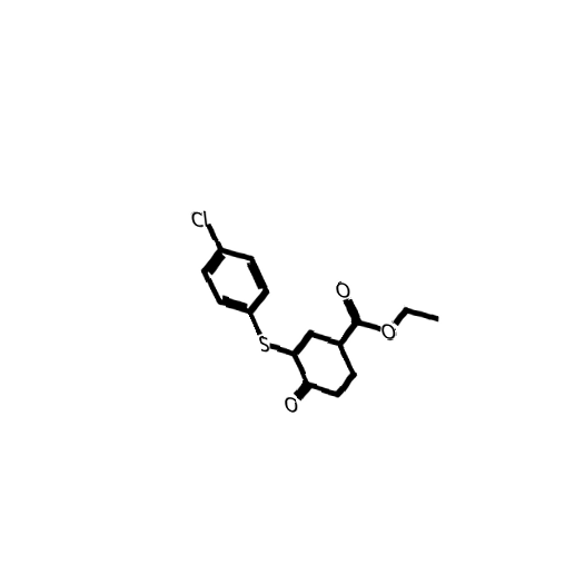 CCOC(=O)C1CCC(=O)C(Sc2ccc(Cl)cc2)C1